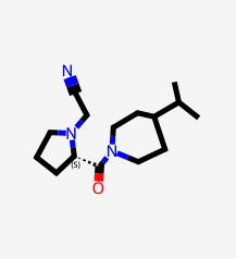 CC(C)C1CCN(C(=O)[C@@H]2CCCN2CC#N)CC1